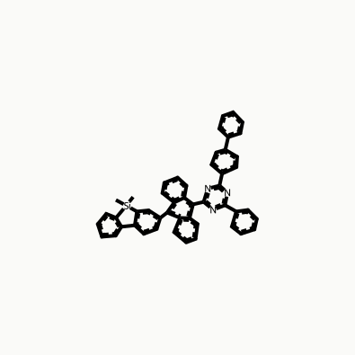 C[Si]1(C)c2ccccc2-c2ccc(-c3c4ccccc4c(-c4nc(-c5ccccc5)nc(-c5ccc(-c6ccccc6)cc5)n4)c4ccccc34)cc21